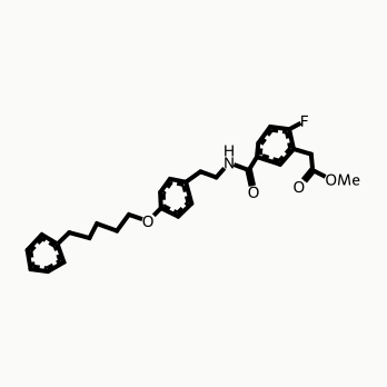 COC(=O)Cc1cc(C(=O)NCCc2ccc(OCCCCCc3ccccc3)cc2)ccc1F